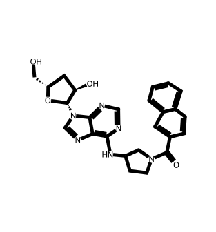 O=C(c1ccc2ccccc2c1)N1CCC(Nc2ncnc3c2ncn3[C@@H]2O[C@H](CO)C[C@H]2O)C1